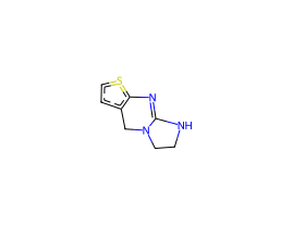 c1cc2c(s1)N=C1NCCN1C2